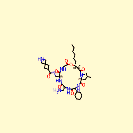 CCCCCC[C@@H]1OC(=O)CNC(=O)[C@H](CNC(=O)C2CC3(CNC3)C2)NC(=O)[C@H](CN)NC(=O)[C@H](C2CCCCC2)NC(=O)[C@H](CC(C)C)N(C)C(=O)[C@@H]1C